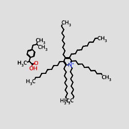 CC(C)Cc1ccc(C(C)C(=O)O)cc1.CCCCCCCCCCc1c(CCCCCCCCCC)c(CCCCCCCCCC)[n+](CCCCCCCCCC)c(CCCCCCCCCC)c1CCCCCCCCCC